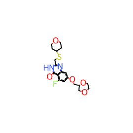 O=c1[nH]c(CSC2CCOCC2)nc2cc(OCC3COCCO3)cc(F)c12